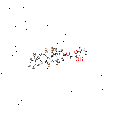 CCC(C)(C)OC(O)COC1CC(Br)C(C(C)(C)C2C(Br)CC(C(C)(CC)CC)CC2Br)C(Br)C1